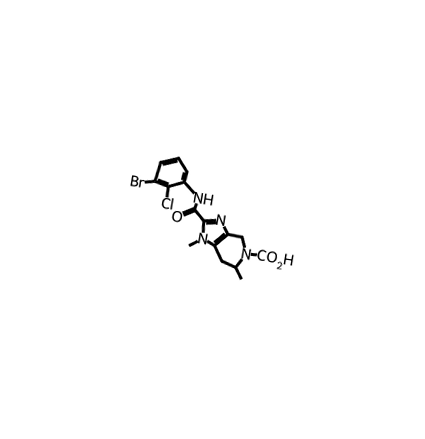 CC1Cc2c(nc(C(=O)Nc3cccc(Br)c3Cl)n2C)CN1C(=O)O